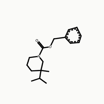 CC(C)C1(C)CCCN(C(=O)OCc2ccccc2)C1